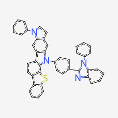 c1ccc(-n2ccc3cc4c(cc32)c2ccc3c5ccccc5sc3c2n4-c2ccc(-c3nc4ccccc4n3-c3ccccc3)cc2)cc1